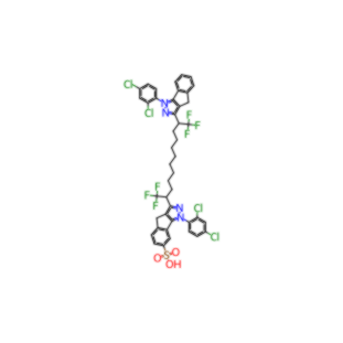 O=S(=O)(O)c1ccc2c(c1)-c1c(c(C(CCCCCCCCC(c3nn(-c4ccc(Cl)cc4Cl)c4c3Cc3ccccc3-4)C(F)(F)F)C(F)(F)F)nn1-c1ccc(Cl)cc1Cl)C2